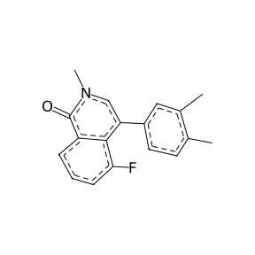 Cc1ccc(-c2cn(C)c(=O)c3cccc(F)c23)cc1C